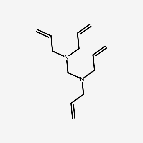 C=CCN(CC=C)CN(CC=C)CC=C